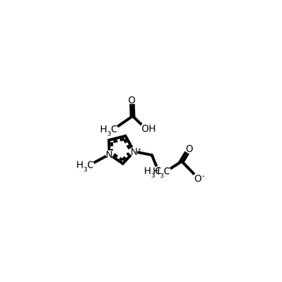 CC(=O)O.CC(=O)[O-].CC[n+]1ccn(C)c1